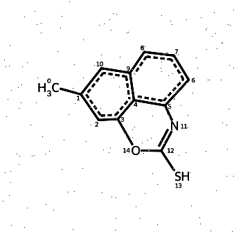 Cc1cc2c3c(cccc3c1)N=C(S)O2